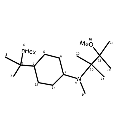 CCCCCCC(C)(C)C1CCC(N(C)C(C)(C)C(C)(C)OC)CC1